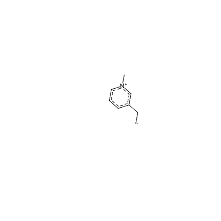 [CH2]Cc1ccc[n+](C)c1